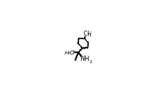 CC(N)(O)C1CCC(O)CC1